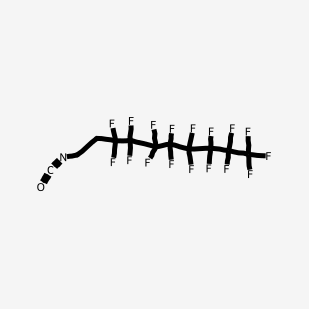 O=C=NCCC(F)(F)C(F)(F)C(F)(F)C(F)(F)C(F)(F)C(F)(F)C(F)(F)C(F)(F)F